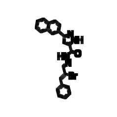 O=C(N/N=C/C(Br)=C/c1ccccc1)c1cc(-c2ccc3ccccc3c2)n[nH]1